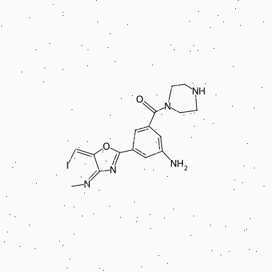 C/N=C1/N=C(c2cc(N)cc(C(=O)N3CCNCC3)c2)O/C1=C/I